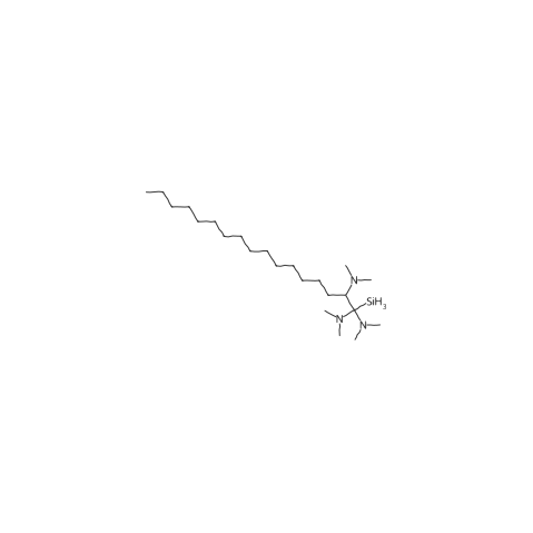 CCCCCCCCCCCCCCCC(N(C)C)C([SiH3])(N(C)C)N(C)C